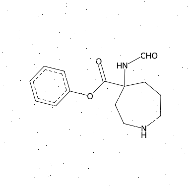 O=CNC1(C(=O)Oc2ccccc2)CCCNCC1